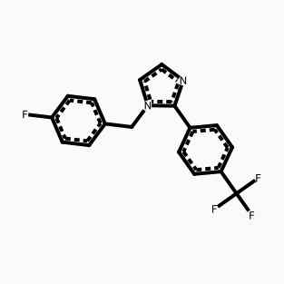 Fc1ccc(Cn2ccnc2-c2ccc(C(F)(F)F)cc2)cc1